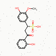 COc1cc(C(CC(=O)c2ccccc2O)S(=O)(=O)O)ccc1O